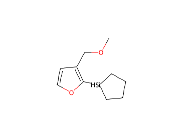 COCc1ccoc1[SiH]1CCCC1